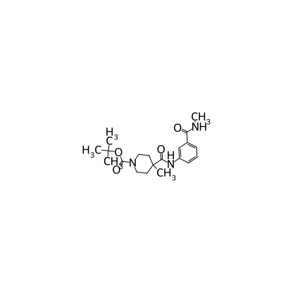 CNC(=O)c1cccc(NC(=O)C2(C)CCN(C(=O)OC(C)(C)C)CC2)c1